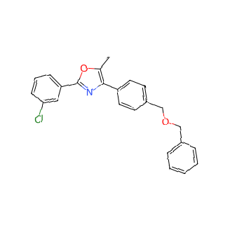 Cc1oc(-c2cccc(Cl)c2)nc1-c1ccc(COCc2ccccc2)cc1